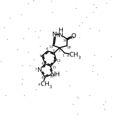 CCC1(c2ccc3nc(C)[nH]c3c2)C=NNC(=O)C1